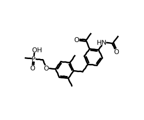 CC(=O)Nc1ccc(Cc2c(C)cc(OCP(C)(=O)O)cc2C)cc1C(C)=O